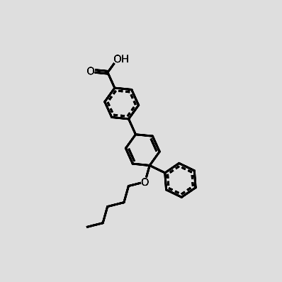 CCCCCOC1(c2ccccc2)C=CC(c2ccc(C(=O)O)cc2)C=C1